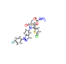 C[C@@H]1C(=O)N(c2ccc3c(cnn3-c3ccc(F)cc3)c2)[C@H](c2ccc(Cl)s2)[C@H]1OC(N)=O